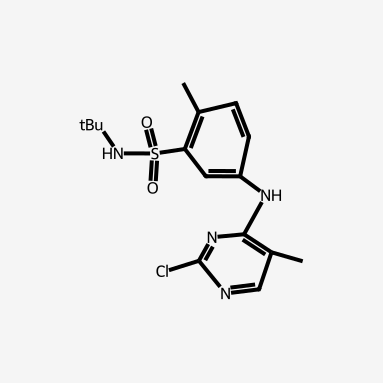 Cc1ccc(Nc2nc(Cl)ncc2C)cc1S(=O)(=O)NC(C)(C)C